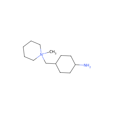 C[N+]1(CC2CCC(N)CC2)CCCCC1